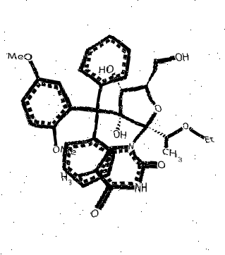 CCOC(C)[C@@]1(n2cc(C)c(=O)[nH]c2=O)O[C@H](CO)[C@@H](O)[C@]1(O)C(c1ccccc1)(c1ccccc1)c1cc(OC)ccc1OC